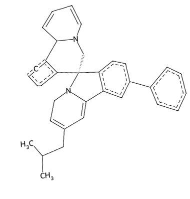 CC(C)CC1=CCN2C(=C1)c1cc(-c3ccccc3)ccc1[C@@]21CN2C=CC=CC2c2ccccc21